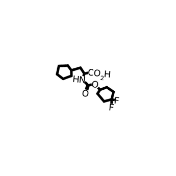 O=C(NC(CC1CCCCC1)C(=O)O)OC1CCC(F)(F)CC1